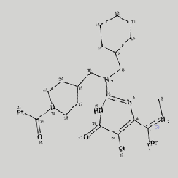 CCC/C(=N/C)c1nc(N(CC2CCCCC2)CC2CCN(C(=O)CC)CC2)[nH]c(=O)c1CC